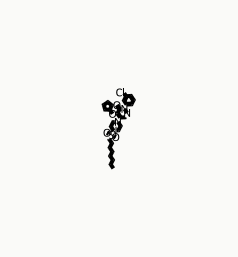 CCCCCCCCS(=O)(=O)N1CCN(c2cnn(-c3cccc(Cl)c3)c(=O)c2OC2CCCC2)CC1